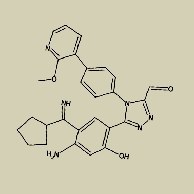 COc1ncccc1-c1ccc(-n2c(C=O)nnc2-c2cc(C(=N)C3CCCC3)c(N)cc2O)cc1